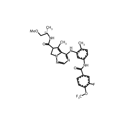 COC[C@H](C)NC(=O)C1CN2N=CN=C(Nc3cc(NC(=O)c4ccc(OC(F)(F)F)c(F)c4)ccc3C)C2=C1C